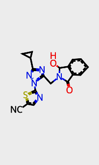 N#Cc1cnc(-n2nc(C3CC3)nc2CN2C(=O)c3ccccc3C2O)s1